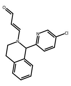 O=CC=CN1CCc2ccccc2C1c1ccc(Cl)cn1